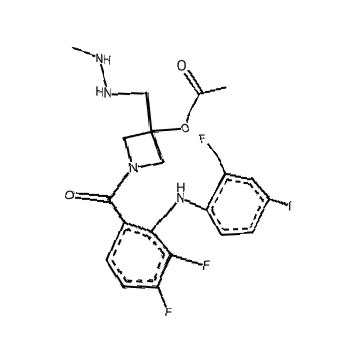 CNNCC1(OC(C)=O)CN(C(=O)c2ccc(F)c(F)c2Nc2ccc(I)cc2F)C1